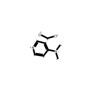 CN(C)c1ccncc1.ClCCl